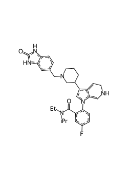 CCN(C(=O)c1cc(F)ccc1-n1cc(C2CCCN(Cc3ccc4[nH]c(=O)[nH]c4c3)C2)c2c1=CNCC=2)C(C)C